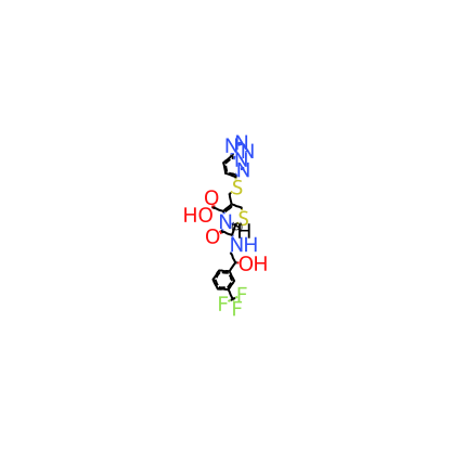 O=C(O)C1=C(CSc2ccc3nnnn3n2)CS[C@H]2C(NCC(O)c3cccc(C(F)(F)F)c3)C(=O)N12